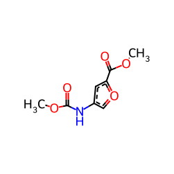 COC(=O)Nc1coc(C(=O)OC)c1